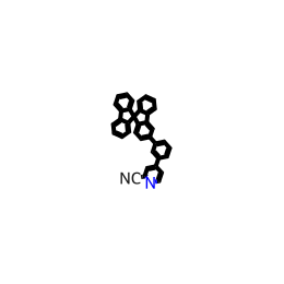 N#Cc1cc(-c2cccc(-c3ccc4c(c3)-c3ccccc3C43c4ccccc4-c4ccccc43)c2)ccn1